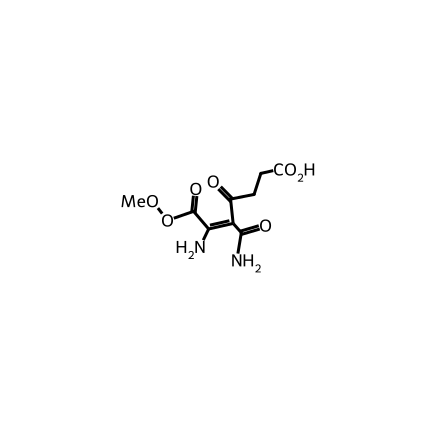 COOC(=O)/C(N)=C(/C(N)=O)C(=O)CCC(=O)O